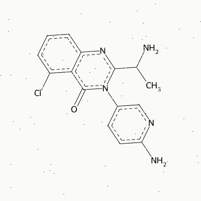 CC(N)c1nc2cccc(Cl)c2c(=O)n1-c1ccc(N)nc1